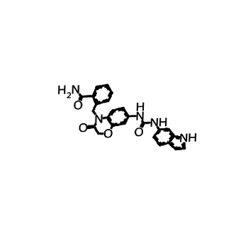 NC(=O)c1ccccc1CN1C(=O)COc2cc(NC(=O)Nc3ccc4cc[nH]c4c3)ccc21